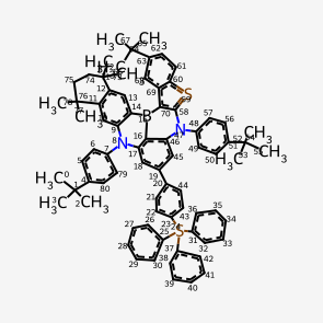 CC(C)(C)c1ccc(N2c3cc4c(cc3B3c5c2cc(-c2ccc(S(c6ccccc6)(c6ccccc6)c6ccccc6)cc2)cc5N(c2ccc(C(C)(C)C)cc2)c2sc5ccc(C(C)(C)C)cc5c23)C(C)(C)CCC4(C)C)cc1